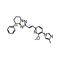 COc1nc(/C=C/c2nc3n(n2)CCC[C@@H]3c2ccccc2)ccc1-n1cnc(C)c1